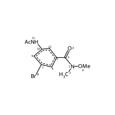 CON(C)C(=O)c1cc(Br)cc(NC(C)=O)c1